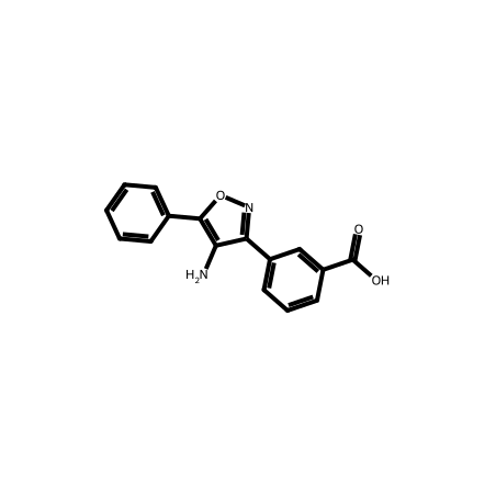 Nc1c(-c2cccc(C(=O)O)c2)noc1-c1ccccc1